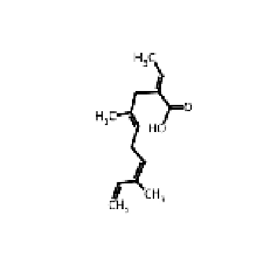 C=CC(C)=CCC=C(C)C/C(=C\C)C(=O)O